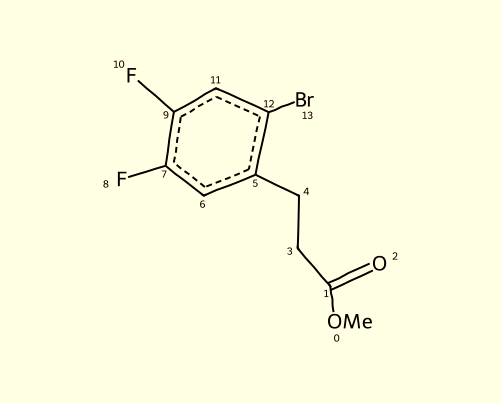 COC(=O)CCc1cc(F)c(F)cc1Br